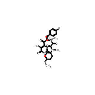 CCN(C)C(=O)C(=O)N(C)C12CCC(OC)(CC1)Cn1c2nc(C(=O)NCc2ccc(F)cc2)c(O)c1=O